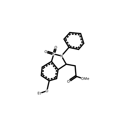 CCOc1ccc2c(c1)C(CC(=O)OC)N(c1ccccc1)S2(=O)=O